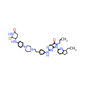 C=CCn1c(=O)c2cnc(Nc3ccc(CCN4CCCN(c5ccc(NC6CCC(=O)NC6=O)cc5)CC4)cc3)nc2n1-c1ccc2c(n1)C(CC)CC2